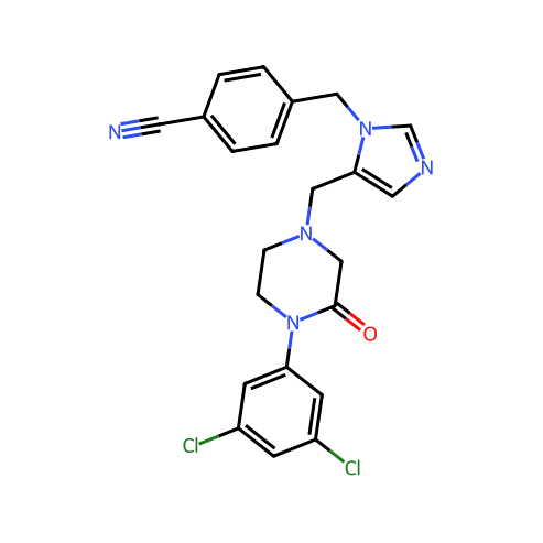 N#Cc1ccc(Cn2cncc2CN2CCN(c3cc(Cl)cc(Cl)c3)C(=O)C2)cc1